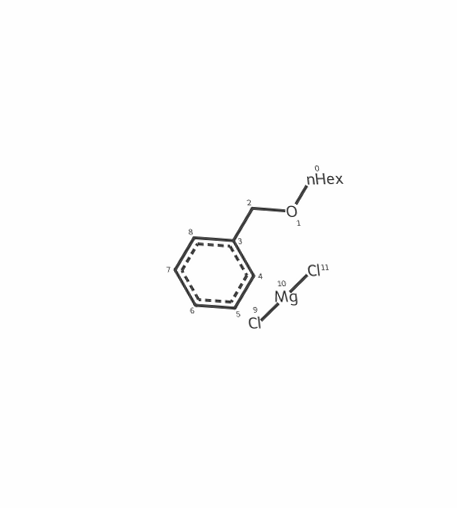 [CH2]CCCCCOCc1ccccc1.[Cl][Mg][Cl]